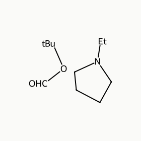 CC(C)(C)OC=O.CCN1CCCC1